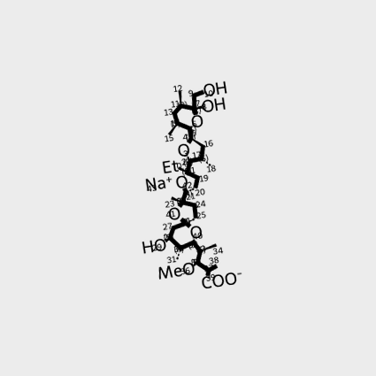 CC[C@@]1([C@@H]2O[C@@H]([C@H]3O[C@@](O)(CO)[C@H](C)C[C@@H]3C)C[C@@H]2C)CC[C@H]([C@]2(C)CC[C@]3(C[C@H](O)[C@@H](C)[C@@H]([C@@H](C)[C@@H](OC)C(C)C(=O)[O-])O3)O2)O1.[Na+]